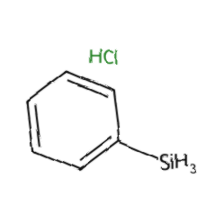 Cl.[SiH3]c1ccccc1